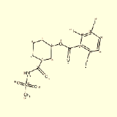 O=C(OC1CCCC(C(=O)NS(=O)(=O)C(F)(F)F)C1)c1c(I)ccc(I)c1I